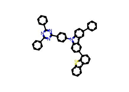 c1ccc(-c2ccc3c(c2)c2cc(-c4cccc5c4sc4ccccc45)ccc2n3-c2ccc(-c3nc(-c4ccccc4)nc(-c4ccccc4)n3)cc2)cc1